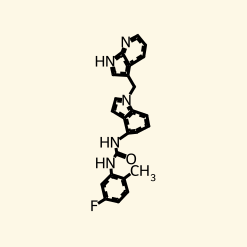 Cc1ccc(F)cc1NC(=O)Nc1cccc2c1ccn2Cc1c[nH]c2ncccc12